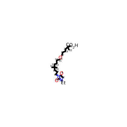 CCN1CC(=O)N(CCCC(C)(C)CCCCOCCCCC(C)(C)C(=O)O)C1=O